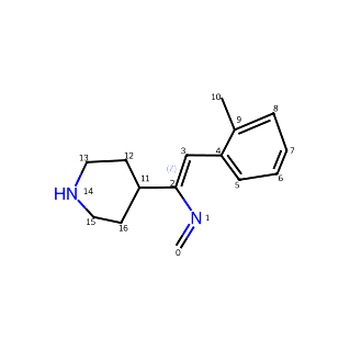 C=N/C(=C\c1ccccc1C)C1CCNCC1